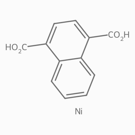 O=C(O)c1ccc(C(=O)O)c2ccccc12.[Ni]